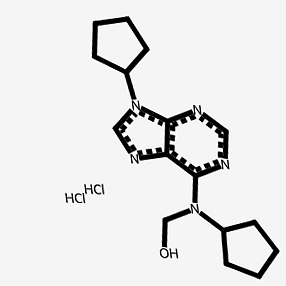 Cl.Cl.OCN(c1ncnc2c1ncn2C1CCCC1)C1CCCC1